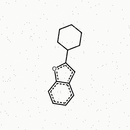 c1ccc2oc(C3CCCCC3)cc2c1